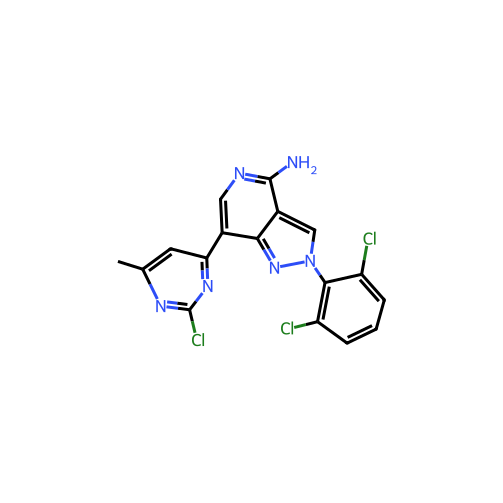 Cc1cc(-c2cnc(N)c3cn(-c4c(Cl)cccc4Cl)nc23)nc(Cl)n1